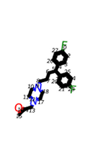 Fc1ccc(C(CCCN2CCN(CC3CO3)CC2)c2ccc(F)cc2)cc1